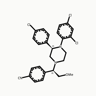 [C-]#[N+]c1ccc([C@H](COC)N2CCN(c3ccc(Cl)cc3Cl)[C@H](c3ccc(Cl)cc3)C2)cc1